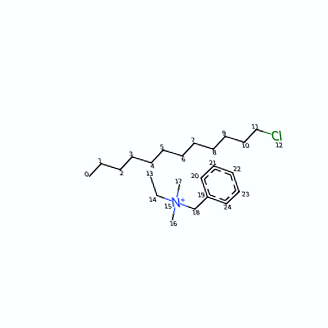 CCCCCCCCCCCCCl.CC[N+](C)(C)Cc1ccccc1